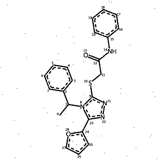 CC(c1ccccc1)n1c(SCC(=O)Nc2ccccc2)nnc1-c1ccco1